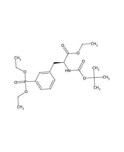 CCOC(=O)[C@H](Cc1cccc(P(=O)(OCC)OCC)c1)NC(=O)OC(C)(C)C